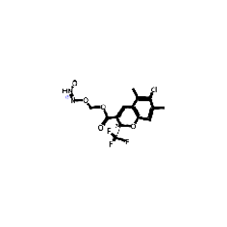 Cc1cc2c(c(C)c1Cl)C=C(C(=O)OCO/N=[NH+]\[O-])[C@@H](C(F)(F)F)O2